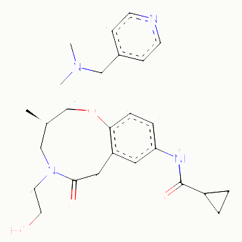 C[C@@H]1CN([C@@H](C)CO)C(=O)Cc2cc(NC(=O)C3CC3)ccc2O[C@H]1CN(C)Cc1ccncc1